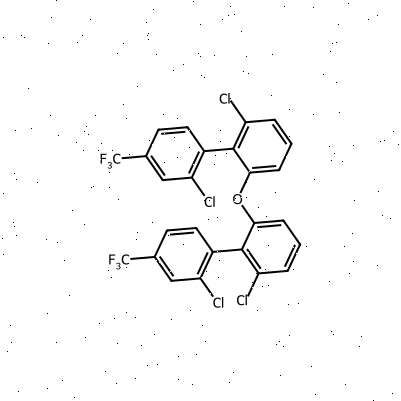 FC(F)(F)c1ccc(-c2c(Cl)cccc2Oc2cccc(Cl)c2-c2ccc(C(F)(F)F)cc2Cl)c(Cl)c1